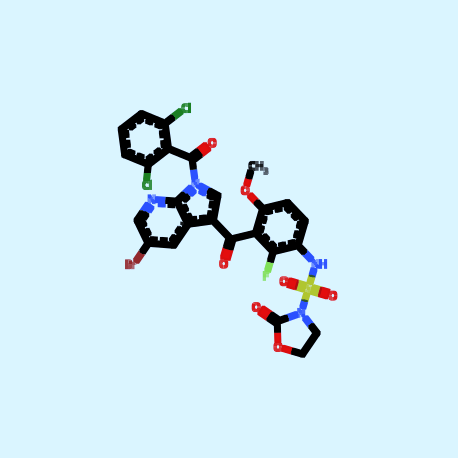 COc1ccc(NS(=O)(=O)N2CCOC2=O)c(F)c1C(=O)c1cn(C(=O)c2c(Cl)cccc2Cl)c2ncc(Br)cc12